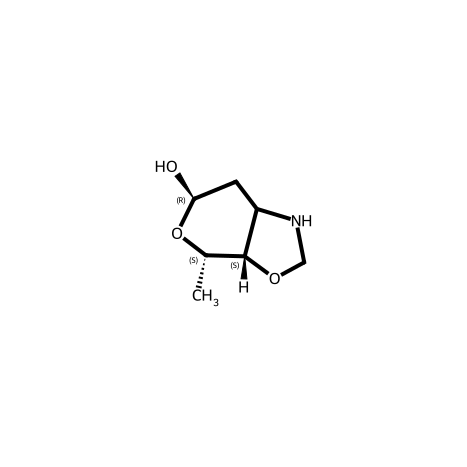 C[C@@H]1O[C@@H](O)CC2NCO[C@@H]21